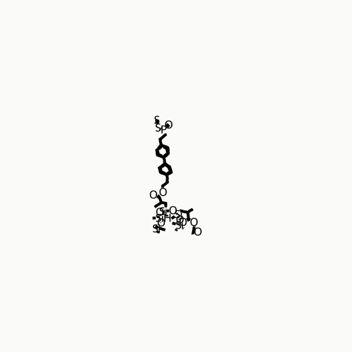 CC(C[Si](C)(O[SiH](C)O[Si](C)(C)C)O[Si](C)(CC(C)C(=O)OC1CO1)O[Si](C)(C)C)C(=O)OCCc1ccc(-c2ccc(CCP(=O)=S=S)cc2)cc1